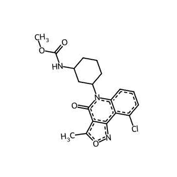 COC(=O)NC1CCCC(n2c(=O)c3c(C)onc3c3c(Cl)cccc32)C1